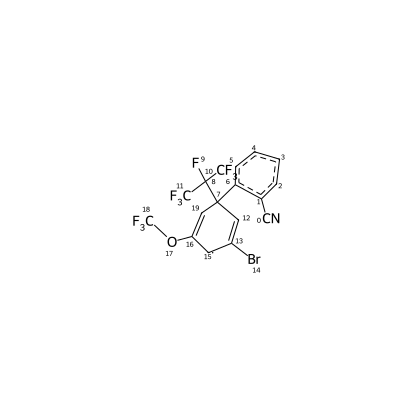 N#Cc1ccccc1C1(C(F)(C(F)(F)F)C(F)(F)F)C=C(Br)[CH]C(OC(F)(F)F)=C1